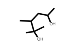 CC(O)CC(C)C(C)(C)O